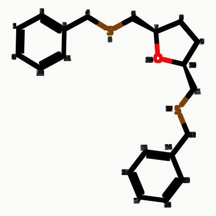 c1ccc(CSC[C@H]2CC[C@@H](CSCc3ccccc3)O2)cc1